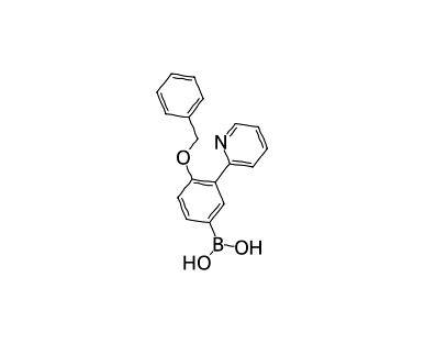 OB(O)c1ccc(OCc2ccccc2)c(-c2ccccn2)c1